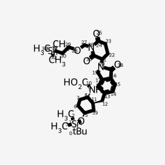 CC(C)(C)[Si](C)(C)O[C@@H]1CC[C@H](NC(=O)O)[C@@H](Cc2ccc3c(c2)CN(C2CCC(=O)N(COCC[Si](C)(C)C)C2=O)C3=O)C1